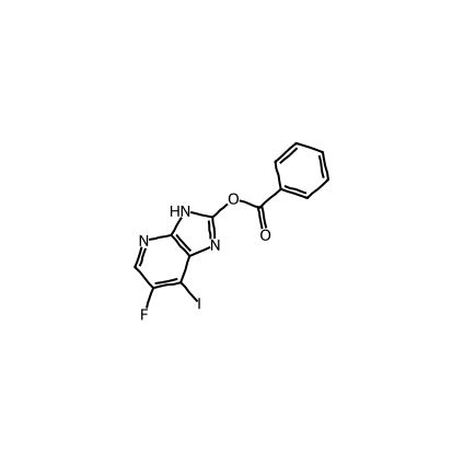 O=C(Oc1nc2c(I)c(F)cnc2[nH]1)c1ccccc1